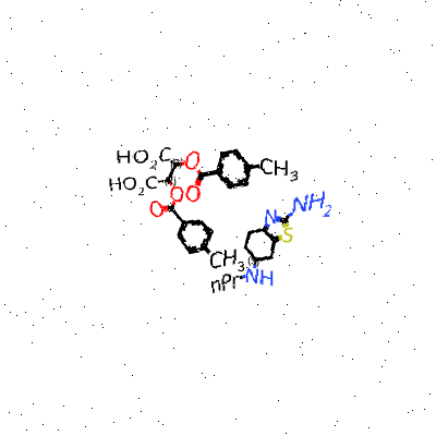 CCCN[C@H]1CCc2nc(N)sc2C1.Cc1ccc(C(=O)O[C@@H](C(=O)O)[C@@H](OC(=O)c2ccc(C)cc2)C(=O)O)cc1